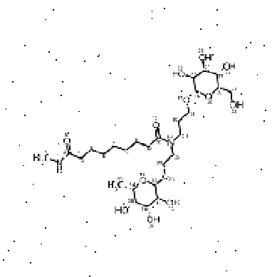 CNC(=O)CCCCCCCC(=O)N(CCCO[C@H]1O[C@H](CO)[C@@H](O)[C@H](O)[C@@H]1O)CCO[C@@H]1O[C@@H](C)[C@@H](O)[C@@H](O)[C@@H]1O